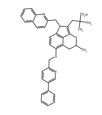 CC1Cc2c(OCc3ccc(-c4ccccc4)cn3)ccc3c2c(c(CC(C)(C)C(=O)O)n3Cc2ccc3ccccc3n2)S1